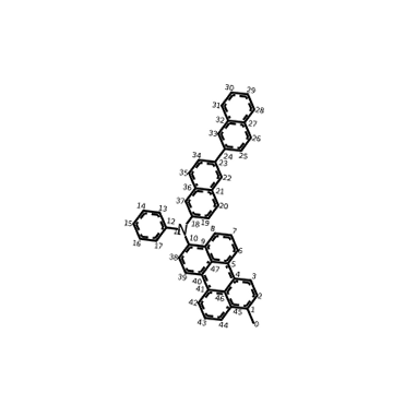 Cc1ccc2c3cccc4c(N(c5ccccc5)c5ccc6cc(-c7ccc8ccccc8c7)ccc6c5)ccc(c5cccc1c25)c43